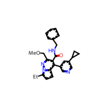 CCc1ccc2c(-c3cncc(C4CC4)c3)c(C(=O)NCc3ccccc3)c(COC)nn12